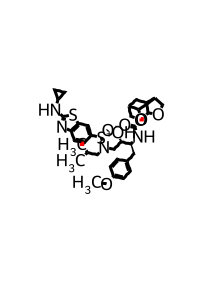 COc1ccc(C[C@H](NC(=O)OC2C3COC4OCC2C4C3)[C@H](O)CN(CC(C)C)[S+]([O-])c2ccc3nc(NC4CC4)sc3c2)cc1